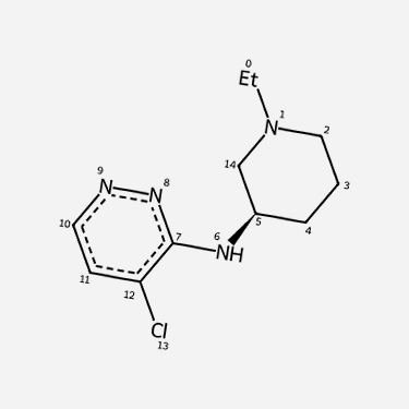 CCN1CCC[C@@H](Nc2nnccc2Cl)C1